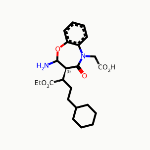 CCOC(=O)C(CCC1CCCCC1)[C@@H]1C(=O)N(CC(=O)O)c2ccccc2OC1N